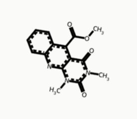 COC(=O)c1c2ccccc2nc2c1c(=O)n(C)c(=O)n2C